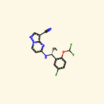 C[C@@H](Nc1ccn2ncc(C#N)c2n1)c1cc(F)ccc1OC(F)F